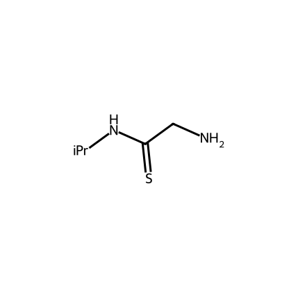 CC(C)NC(=S)CN